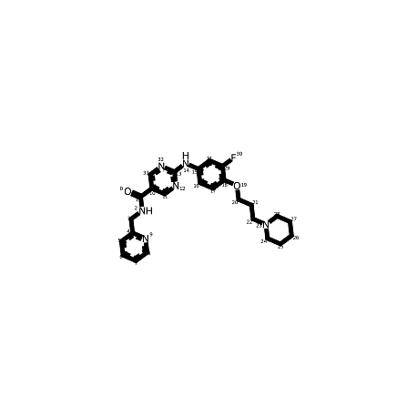 O=C(NCc1ccccn1)c1cnc(Nc2ccc(OCCCN3CCCCC3)c(F)c2)nc1